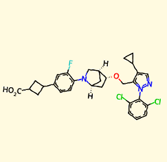 O=C(O)C1CC(c2ccc(N3C[C@@H]4C[C@H]3C[C@H]4OCc3c(C4CC4)cnn3-c3c(Cl)cccc3Cl)c(F)c2)C1